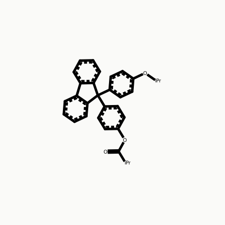 CC(C)Oc1ccc(C2(c3ccc(OC(=O)C(C)C)cc3)c3ccccc3-c3ccccc32)cc1